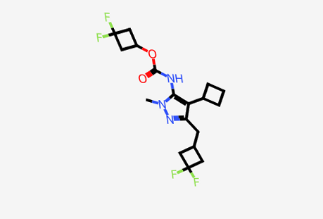 Cn1nc(CC2CC(F)(F)C2)c(C2CCC2)c1NC(=O)OC1CC(F)(F)C1